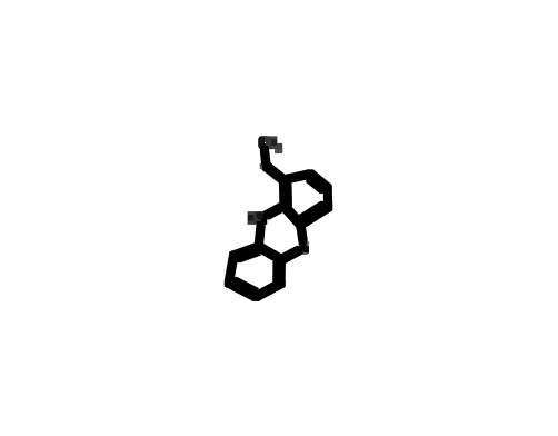 C[CH]c1cccc2c1Nc1ccccc1S2